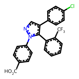 O=C(O)c1ccc(-n2ncc(-c3ccc(Cl)cc3)c2-c2ccccc2C(F)(F)F)cc1